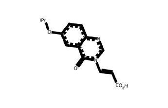 CC(C)Oc1ccc2ncn(C=CC(=O)O)c(=O)c2c1